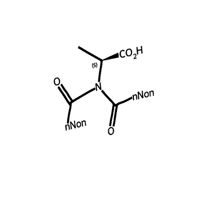 CCCCCCCCCC(=O)N(C(=O)CCCCCCCCC)[C@@H](C)C(=O)O